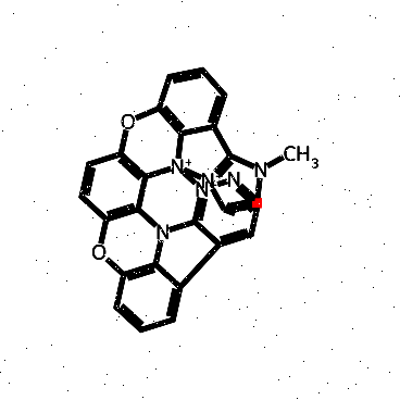 Cn1c2[n+](c3ccccc31)[N+]13c4c(cccc4-2)Oc2ccc4c(c21)-n1c2c(cccc2c2ccn[n+]3c21)O4